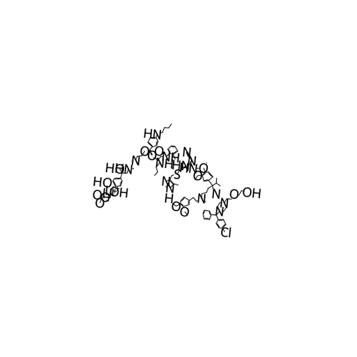 CCCCNc1ccc(C(=O)OCCN(C)C)cc1.CCCNC(C)C(=O)Nc1ccccc1C.CN/C(=N/C#N)NCCSCc1nc[nH]c1C.CNC[C@H](O)c1ccc(O)c(O)c1.COc1ccc(CCN(C)CCCC(C#N)(c2ccc(OC)c(OC)c2)C(C)C)cc1OC.O=C([O-])[O-].OCCOCCN1CCN(C(c2ccccc2)c2ccc(Cl)cc2)CC1.[Li+].[Li+]